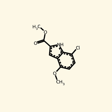 COC(=O)c1cc2c(OC)ccc(Cl)c2[nH]1